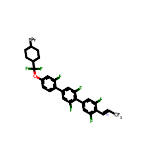 CCCC1CCC(C(F)(F)Oc2ccc(-c3cc(F)c(-c4cc(F)c(/C=C/C(F)(F)F)c(F)c4)c(F)c3)c(F)c2)CC1